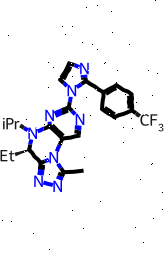 CC[C@@H]1c2nnc(C)n2-c2cnc(-n3ccnc3-c3ccc(C(F)(F)F)cc3)nc2N1C(C)C